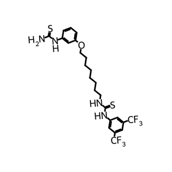 NC(=S)Nc1cccc(OCCCCCCCCNC(=S)Nc2cc(C(F)(F)F)cc(C(F)(F)F)c2)c1